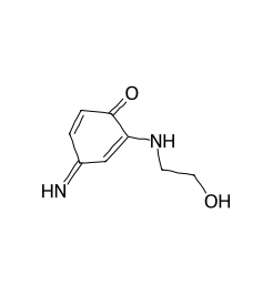 N=C1C=CC(=O)C(NCCO)=C1